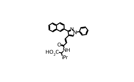 CC(C)C(NC(=O)/C=C/c1cn(-c2ccccc2)nc1-c1ccc2ccccc2c1)C(=O)O